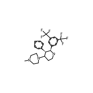 CN1CCN(C2CC[N][C@H](c3cc(C(F)(F)F)cc(C(F)(F)F)c3)[C@@H]2c2ccccc2)CC1